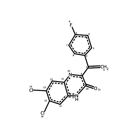 C=C(c1ccc(F)cc1)c1nc2cc(Cl)c(Cl)cc2[nH]c1=O